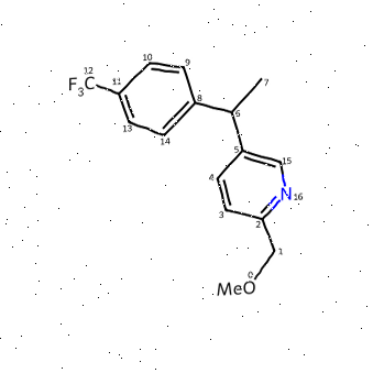 COCc1ccc(C(C)c2ccc(C(F)(F)F)cc2)cn1